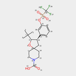 CC(C)(C)C1OC2(CCN(C(=O)O)CC2)C[C@@H]1c1cccc(OS(=O)(=O)C(F)(F)F)c1